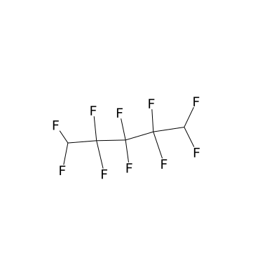 FC(F)C(F)(F)C(F)(F)C(F)(F)C(F)F